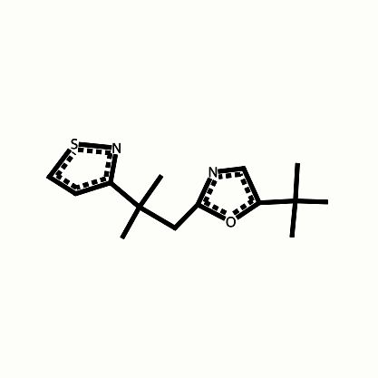 CC(C)(C)c1cnc(CC(C)(C)c2ccsn2)o1